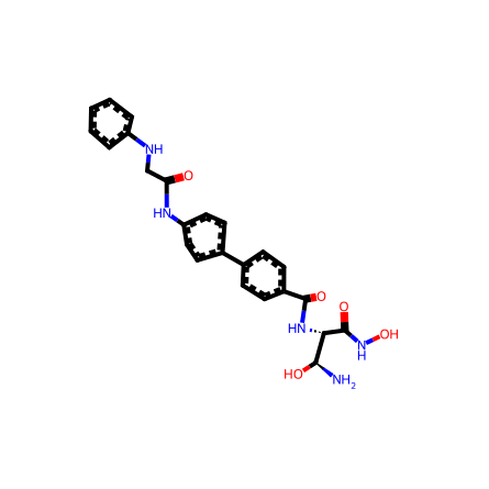 N[C@@H](O)[C@H](NC(=O)c1ccc(-c2ccc(NC(=O)CNc3ccccc3)cc2)cc1)C(=O)NO